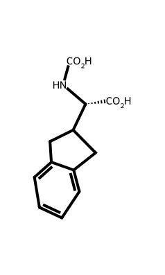 O=C(O)N[C@H](C(=O)O)C1Cc2ccccc2C1